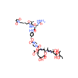 CC[C@H](O)C(C)O[C@@H](C)C[C@@](C)(O)/C=C/C=C(\C)[C@H]1OC(=O)C[C@H](O)CC[C@@](C)(OC(C)=O)[C@@H](OC(=O)N2CCN(C(=O)OCc3ccc(NC(=O)[C@H](CCCNC(N)=O)NC(=O)[C@@H](NC(=O)CCCCCN4C(=O)C=CC4=O)C(C)C)cc3)CC2)/C=C/[C@@H]1C